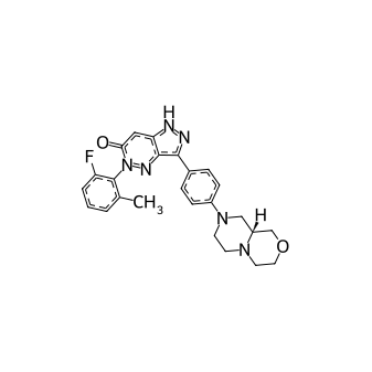 Cc1cccc(F)c1-n1nc2c(-c3ccc(N4CCN5CCOC[C@H]5C4)cc3)n[nH]c2cc1=O